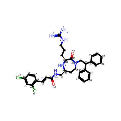 N=C(N)NCCC[C@@H]1N[C@H](CNC(=O)/C=C/c2ccc(Cl)cc2Cl)CCN(CC(c2ccccc2)c2ccccc2)C1=O